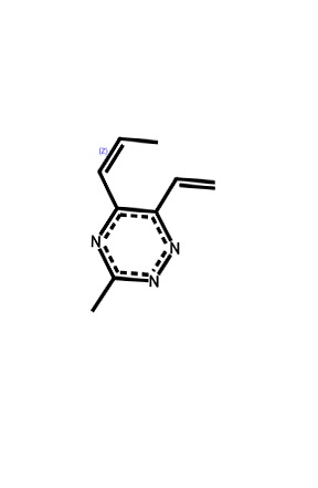 C=Cc1nnc(C)nc1/C=C\C